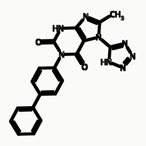 Cc1nc2[nH]c(=O)n(-c3ccc(-c4ccccc4)cc3)c(=O)c2n1-c1nnn[nH]1